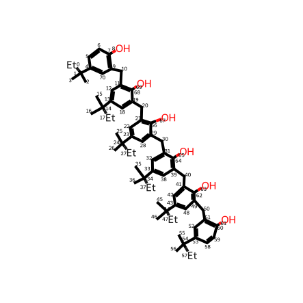 CCC(C)(C)c1ccc(O)c(Cc2cc(C(C)(C)CC)cc(Cc3cc(C(C)(C)CC)cc(Cc4cc(C(C)(C)CC)cc(Cc5cc(C(C)(C)CC)cc(Cc6cc(C(C)(C)CC)ccc6O)c5O)c4O)c3O)c2O)c1